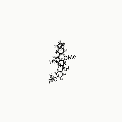 COc1nc(N[C@H]2CC[C@@H](OC(F)F)CC2)nc2[nH]cc(-c3ccn4nccc4n3)c12